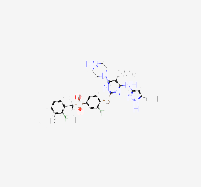 COc1c(Nc2cc(C)[nH]n2)nc(Sc2ccc(S(=O)(=O)C(C)(C)c3cccc([N+](=O)[O-])c3F)cc2F)nc1N1CCNCC1